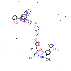 Cc1ncsc1-c1ccc([C@H](C)NC(=O)[C@@H]2C[C@@H](O)CN2C(=O)[C@H](c2cc(OCCCN3CCC(O[C@H]4C[C@H](Oc5cc(N6C7CCC6CN(c6cc(-c8ccccc8O)nnc6N)C7)ccn5)C4)CC3)no2)C(C)C)cc1